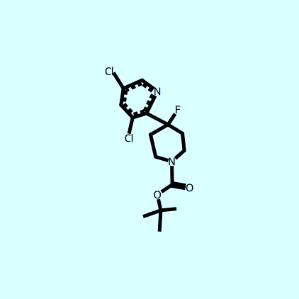 CC(C)(C)OC(=O)N1CCC(F)(c2ncc(Cl)cc2Cl)CC1